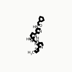 Cc1ccc(-c2nccc3[nH]c(-c4n[nH]c5ccc(-c6cncc(NC(=O)CC7CCCCC7)c6)nc45)nc23)s1